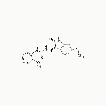 COc1ccc2c(c1)NC(=O)/C2=N\NC(=S)Nc1ccccc1OC